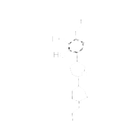 CCCc1ccc(C2CCC(C3CCC(CCC)CC3)OC2)c(O)c1O